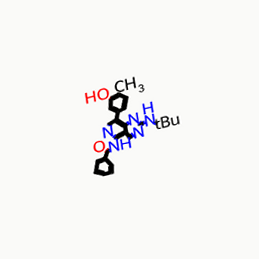 Cc1ccc(-c2cnc(NC(=O)c3ccccc3)c3cnc(NC(C)(C)C)nc23)cc1O